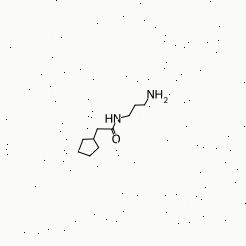 NCCCNC(=O)CC1CCCC1